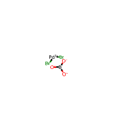 [Br][Pd+3][Br].[O-]B([O-])[O-]